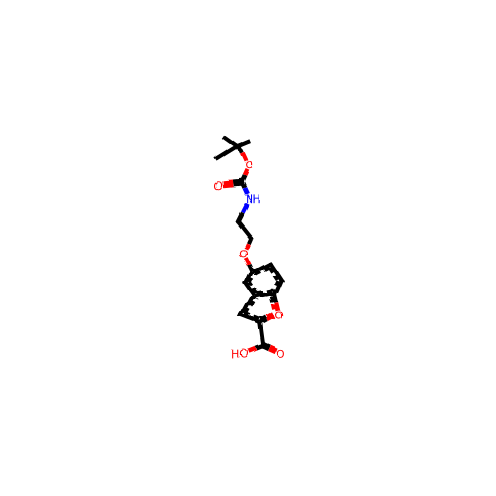 CC(C)(C)OC(=O)NCCOc1ccc2oc(C(=O)O)cc2c1